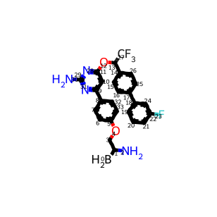 BC(N)COc1ccc(-c2cc(OC(c3ccc(-c4cccc(F)c4)cc3)C(F)(F)F)nc(N)n2)cc1